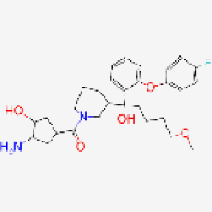 COCCCCC(O)(c1ccccc1Oc1ccc(F)cc1)C1CCCN(C(=O)C2CC(N)C(O)C2)C1